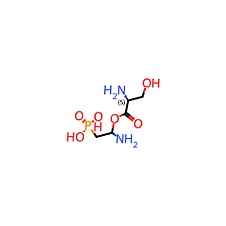 NC(CP(=O)(O)O)OC(=O)[C@@H](N)CO